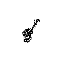 COC(=O)COCCOCCOc1ccc2c(c1)CN(C(=O)[C@@H](NC(=O)[C@H](C)N(C)C(=O)OC(C)(C)C)C(C)(C)C)[C@H](C(=O)N[C@@H]1CCCc3ccccc31)C2